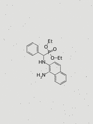 CCOP(=O)(OCC)C(Nc1ccc2ccccc2c1N)c1ccccc1